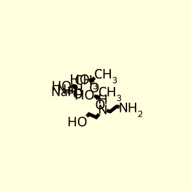 CC(=O)O.CC(=O)O.CC(=O)O.NCCNCCO.[NaH].[NaH]